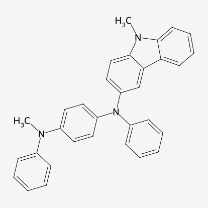 CN(c1ccccc1)c1ccc(N(c2ccccc2)c2ccc3c(c2)c2ccccc2n3C)cc1